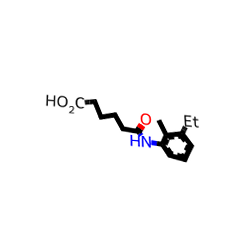 CCc1cccc(NC(=O)CCCCC(=O)O)c1C